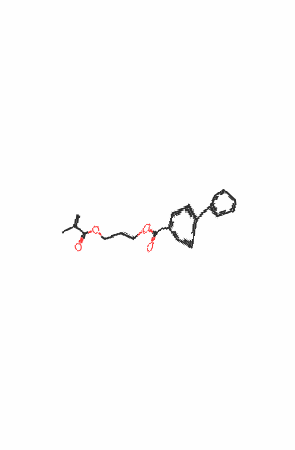 C=C(C)C(=O)OCCCOC(=O)c1ccc(-c2ccccc2)cc1